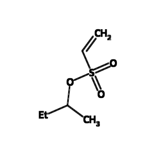 C=CS(=O)(=O)OC(C)CC